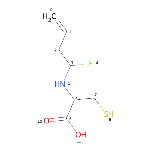 C=CCC(F)NC(CS)C(=O)O